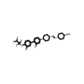 CCC[C@H]1CC[C@H](CC[C@H]2CC[C@H](c3ccc(-c4ccc(OC(F)(F)C(F)F)c(F)c4)c(F)c3)CC2)CC1